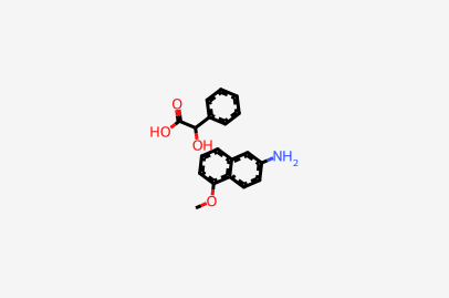 COc1cccc2cc(N)ccc12.O=C(O)C(O)c1ccccc1